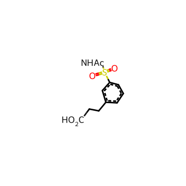 CC(=O)NS(=O)(=O)c1cccc(CCC(=O)O)c1